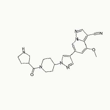 COc1cc(-c2cnn(C3CCN(C(=O)C4CCNC4)CC3)c2)cn2ncc(C#N)c12